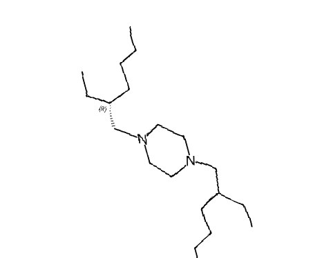 CCCCC(CC)CN1CCN(C[C@H](CC)CCCC)CC1